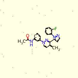 C=C1C=CN(c2cccc(NC(C)=O)c2)N=C1c1ccnn1-c1ccccc1F